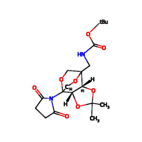 CC(C)(C)OC(=O)NCC12COC(N3C(=O)CCC3=O)(CO1)[C@H]1OC(C)(C)O[C@H]12